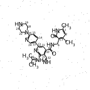 Cc1cc(C)c(CNC(=O)c2cc(-c3ccc(N4CCNCC4)nc3)nc(NC(C)C)c2C=N)c(=O)[nH]1